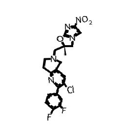 C[C@]1(CN2CCc3nc(-c4ccc(F)c(F)c4)c(Cl)cc3C2)Cn2cc([N+](=O)[O-])nc2O1